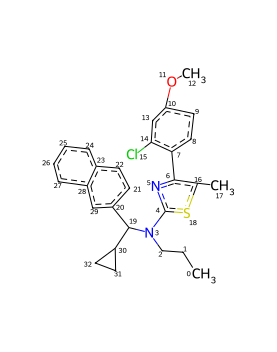 CCCN(c1nc(-c2ccc(OC)cc2Cl)c(C)s1)C(c1ccc2ccccc2c1)C1CC1